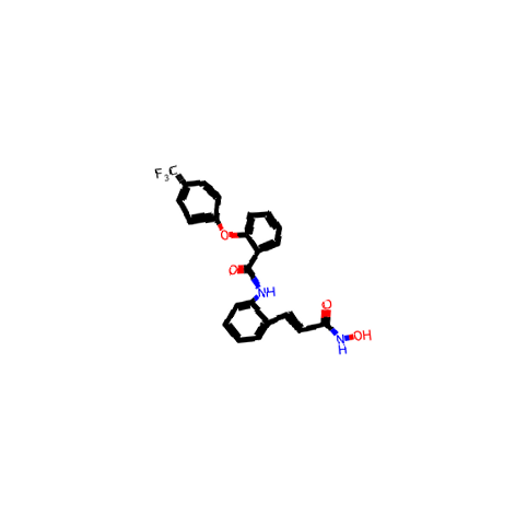 O=C(/C=C/c1ccccc1NC(=O)c1ccccc1Oc1ccc(C(F)(F)F)cc1)NO